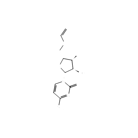 C=COC[C@H]1O[C@@H](n2ccc(N)nc2=O)[C@H](O)[C@@H]1O